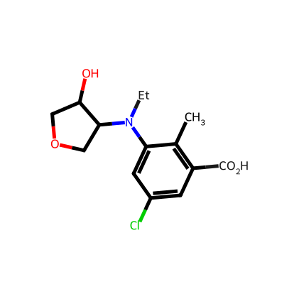 CCN(c1cc(Cl)cc(C(=O)O)c1C)C1COCC1O